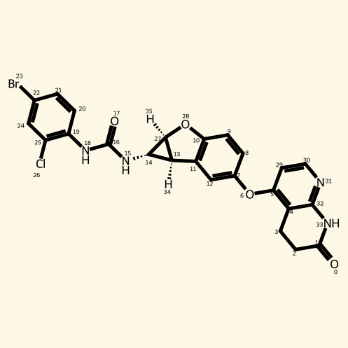 O=C1CCc2c(Oc3ccc4c(c3)[C@H]3[C@H](NC(=O)Nc5ccc(Br)cc5Cl)[C@H]3O4)ccnc2N1